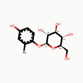 CC(=O)c1cc(O)ccc1O[C@@H]1O[C@H](CO)[C@@H](O)[C@H](O)[C@H]1O